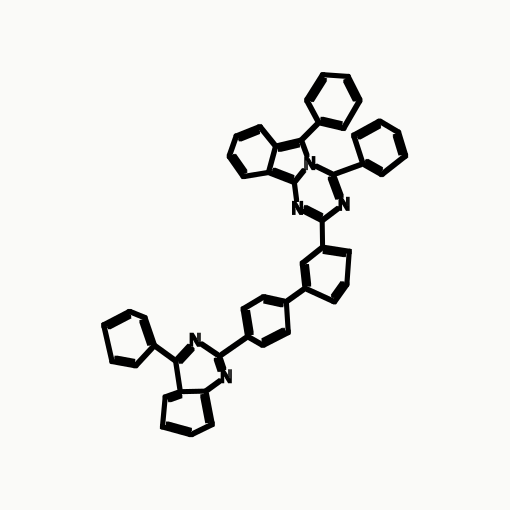 c1ccc(-c2nc(-c3ccc(-c4cccc(-c5nc(-c6ccccc6)n6c(-c7ccccc7)c7ccccc7c6n5)c4)cc3)nc3ccccc23)cc1